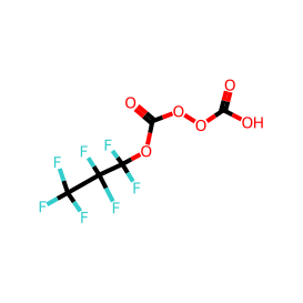 O=C(O)OOC(=O)OC(F)(F)C(F)(F)C(F)(F)F